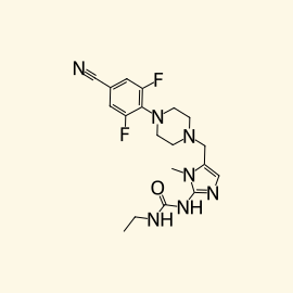 CCNC(=O)Nc1ncc(CN2CCN(c3c(F)cc(C#N)cc3F)CC2)n1C